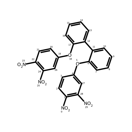 O=[N+]([O-])c1ccc(Oc2ccccc2-c2ccccc2Oc2ccc([N+](=O)[O-])c([N+](=O)[O-])c2)cc1[N+](=O)[O-]